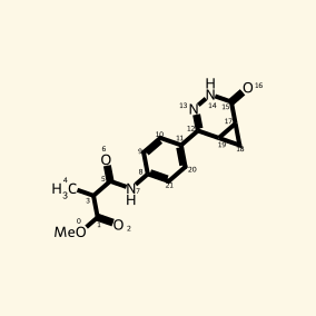 COC(=O)C(C)C(=O)Nc1ccc(C2=NNC(=O)C3CC23)cc1